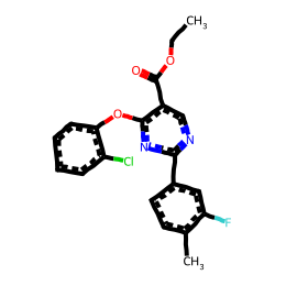 CCOC(=O)c1cnc(-c2ccc(C)c(F)c2)nc1Oc1ccccc1Cl